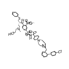 CN(CCO)CC[C@H](CSc1ccccc1)Nc1ccc(S(=O)(=O)NC(=O)c2ccc(N3CCN(Cc4ccccc4-c4ccc(Cl)cc4)CC3)cc2)cc1[N+](=O)[O-]